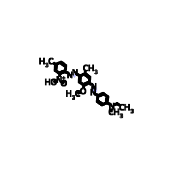 CCN(C)c1ccc(/N=N/c2cc(C)c(/N=N/c3ccc(C)cc3[N+](=O)O)cc2OC)cc1